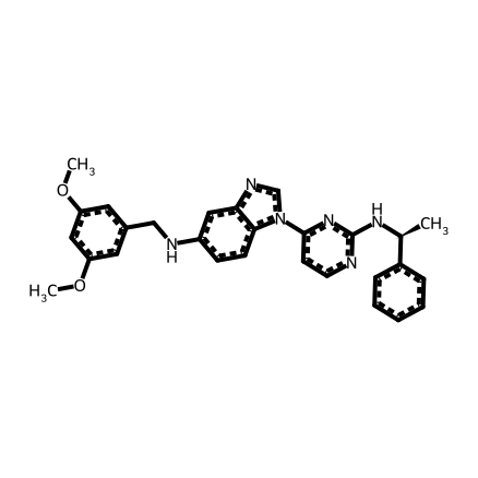 COc1cc(CNc2ccc3c(c2)ncn3-c2ccnc(N[C@@H](C)c3ccccc3)n2)cc(OC)c1